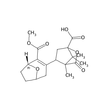 COC(=O)C1=C(C2CC3(C(=O)O)OC(=O)C2(C)C3(C)C)CC2CC[C@H]1O2